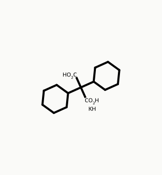 O=C(O)C(C(=O)O)(C1CCCCC1)C1CCCCC1.[KH]